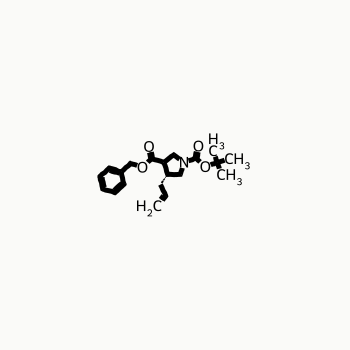 C=CC[C@H]1CN(C(=O)OC(C)(C)C)CC1C(=O)OCc1ccccc1